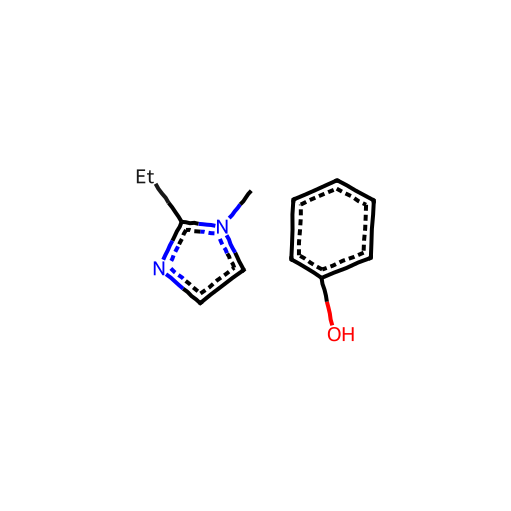 CCc1nccn1C.Oc1ccccc1